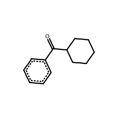 O=C(c1[c]cccc1)C1CCCCC1